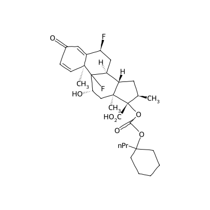 CCCC1(OC(=O)O[C@@]2(C(=O)O)[C@H](C)C[C@H]3[C@@H]4C[C@H](F)C5=CC(=O)C=C[C@]5(C)C4(F)[C@@H](O)C[C@@]32C)CCCCC1